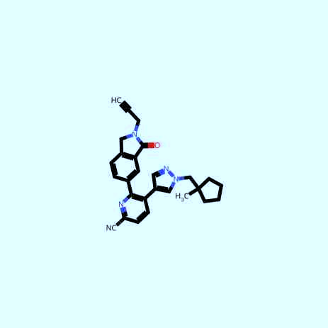 C#CCN1Cc2ccc(-c3nc(C#N)ccc3-c3cnn(CC4(C)CCCC4)c3)cc2C1=O